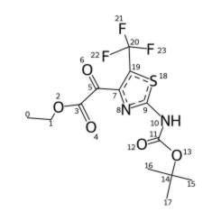 CCOC(=O)C(=O)c1nc(NC(=O)OC(C)(C)C)sc1C(F)(F)F